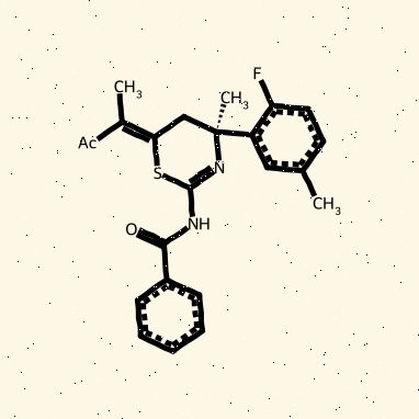 CC(=O)/C(C)=C1/C[C@@](C)(c2cc(C)ccc2F)N=C(NC(=O)c2ccccc2)S1